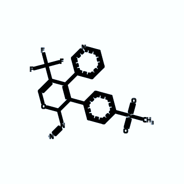 CS(=O)(=O)c1ccc(C2=C(c3cccnc3)C(C(F)(F)F)=COC2N=[N])cc1